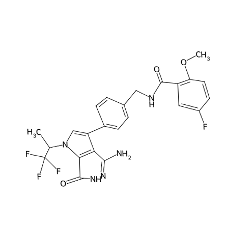 COc1ccc(F)cc1C(=O)NCc1ccc(-c2cn(C(C)C(F)(F)F)c3c(=O)[nH]nc(N)c23)cc1